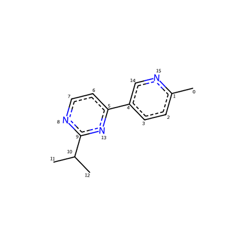 Cc1ccc(-c2ccnc(C(C)C)n2)cn1